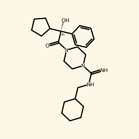 N=C(NCC1CCCCC1)N1CCN(C(=O)[C@](O)(c2ccccc2)C2CCCC2)CC1